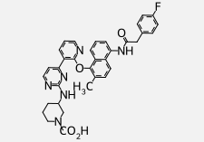 Cc1ccc2c(NC(=O)Cc3ccc(F)cc3)cccc2c1Oc1ncccc1-c1ccnc(NC2CCCN(C(=O)O)C2)n1